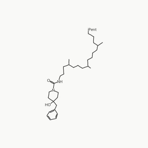 CCCC(C)CCCC(C)CCCCC(C)CCCC(C)CCCNC(=O)N1CCC(O)(Cc2ccccc2)CC1